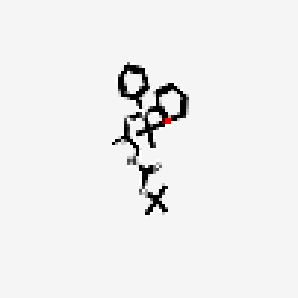 C[C@H](CNC(=O)OC(C)(C)C)O[Si](c1ccccc1)(c1ccccc1)C(C)(C)C